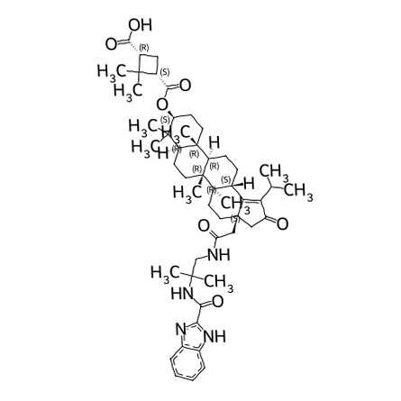 CC(C)C1=C2[C@H]3CC[C@@H]4[C@@]5(C)CC[C@H](OC(=O)[C@H]6C[C@@H](C(=O)O)C6(C)C)C(C)(C)[C@@H]5CC[C@@]4(C)[C@]3(C)CC[C@@]2(CC(=O)NCC(C)(C)NC(=O)c2nc3ccccc3[nH]2)CC1=O